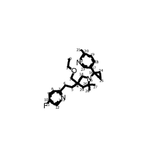 CCOCC1(CCc2ccc(F)cn2)CN(C2(c3ccc(C)nc3)CC2)C(C)(C)C1